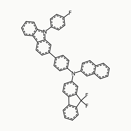 Fc1ccc(-n2c3ccccc3c3ccc(-c4ccc(N(c5ccc6c(c5)C(F)(F)c5ccccc5-6)c5ccc6ccccc6c5)cc4)cc32)cc1